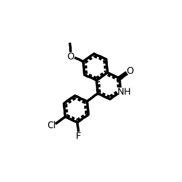 COc1ccc2c(=O)[nH]cc(-c3ccc(Cl)c(F)c3)c2c1